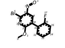 COc1nc(Br)c(N=O)cc1-c1ccccc1F